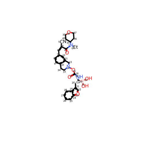 CCN(C(=O)C(C#N)=Cc1ccc2c(c1)CN(OC(=O)N[C@@H](Cc1coc3ccccc13)B(O)O)CC2)C1CCOCC1